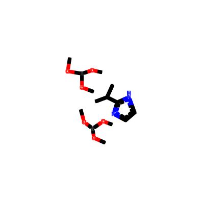 CC(C)c1ncc[nH]1.COB(OC)OC.COB(OC)OC